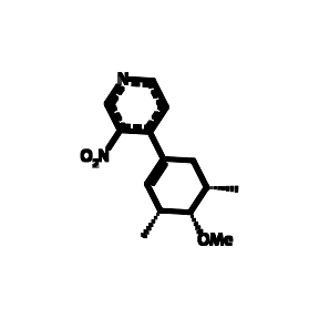 CO[C@@H]1[C@H](C)C=C(c2ccncc2[N+](=O)[O-])C[C@@H]1C